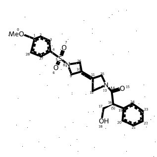 COc1ccc(S(=O)(=O)N2CC(=C3CN(C(=O)[C@H](CO)c4ccccc4)C3)C2)cc1